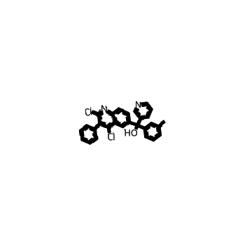 Cc1cccc(C(O)(c2cccnc2)c2ccc3nc(Cl)c(-c4ccccc4)c(Cl)c3c2)c1